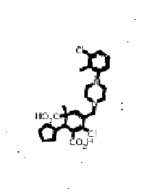 Cc1c(Cl)cccc1N1CCN(CC2=CC(C)(C(=O)O)C(C3CCCC3)C(C(=O)O)=C2Cl)CC1